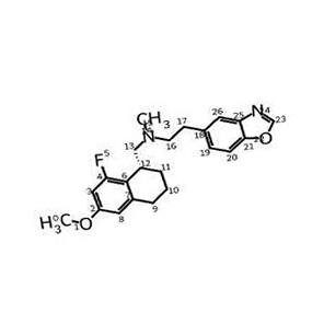 COc1cc(F)c2c(c1)CCC[C@H]2CN(C)CCc1ccc2ocnc2c1